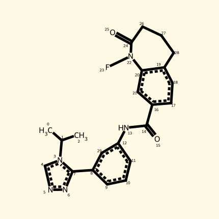 CC(C)n1cnnc1-c1cccc(NC(=O)c2ccc3c(c2)N(F)C(=O)CCC3)c1